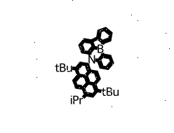 CC(C)c1cc(C(C)(C)C)c2ccc3c(N4c5ccccc5B5c6ccccc6-c6cccc4c65)cc(C(C)(C)C)c4ccc1c2c34